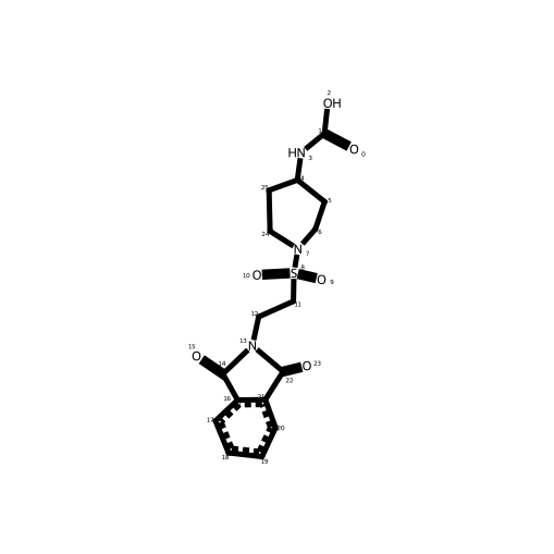 O=C(O)NC1CCN(S(=O)(=O)CCN2C(=O)c3ccccc3C2=O)CC1